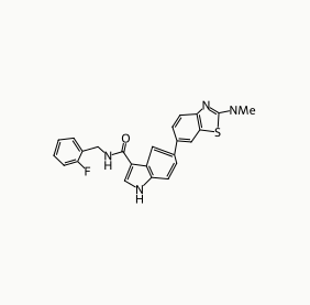 CNc1nc2ccc(-c3ccc4[nH]cc(C(=O)NCc5ccccc5F)c4c3)cc2s1